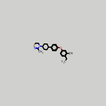 CC1=NSCCN1C1CCC(c2ccc(Oc3ccc(CC(F)(F)F)c(C#N)c3)cc2)CC1